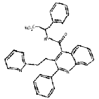 O=C(NC(C(=O)O)c1ccccc1)c1c(CCc2ccccn2)c(-c2ccccc2)nc2ccccc12